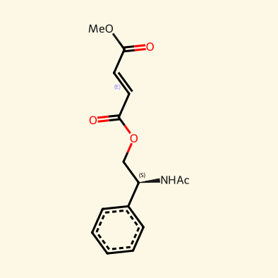 COC(=O)/C=C/C(=O)OC[C@@H](NC(C)=O)c1ccccc1